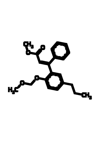 CCCc1ccc(OCOC)c(/C(=C/C(=O)OC)c2ccccc2)c1